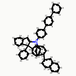 C1=C(N(c2ccc(-c3ccc(-c4ccccc4)cc3)cc2)c2ccc(-c3ccc4ccccc4c3)cc2)C(c2ccccc2)(c2ccccc2)c2ccccc21